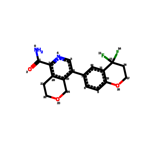 NC(=O)c1ncc(-c2ccc3c(c2)C(F)(F)CCO3)c2c1[CH]COC2